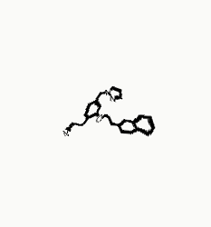 N#CCCc1ccc(Cn2cccn2)cc1OCCc1ccc2ccccc2c1